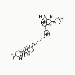 C[C@]12CCC(F)(F)C[C@@H]1CC[C@@H]1[C@@H]2CC[C@]2(C)[C@@H](OCCCCCn3cc(-c4cnn5c(N)c(Br)c([C@@H]6CCCNC6)nc45)cn3)CC[C@@H]12